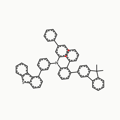 CC1(C)c2ccccc2-c2cc(-c3cccc(N(c4cccc(-c5ccccc5)c4)c4cccc(-c5cccc6sc7ccccc7c56)c4)c3-c3ccccc3)ccc21